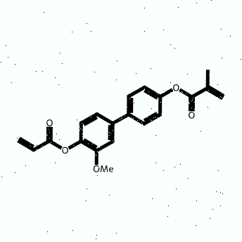 C=CC(=O)Oc1ccc(-c2ccc(OC(=O)C(=C)C)cc2)cc1OC